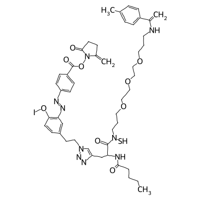 C=C(NCCCOCCOCCOCCCN(S)C(=O)C(Cc1cn(CCc2ccc(OI)c(/N=N/c3ccc(C(=O)ON4C(=C)CCC4=O)cc3)c2)nn1)NC(=O)CCCC)c1ccc(C)cc1